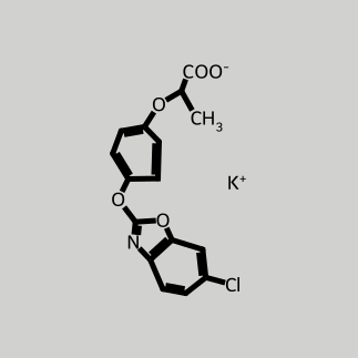 CC(Oc1ccc(Oc2nc3ccc(Cl)cc3o2)cc1)C(=O)[O-].[K+]